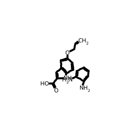 C=CCOc1ccc2[nH]c(C(=O)O)cc2c1.Nc1ccccc1N